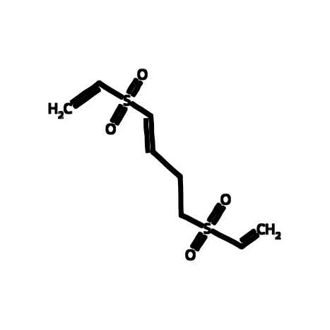 C=CS(=O)(=O)/C=C/CCS(=O)(=O)C=C